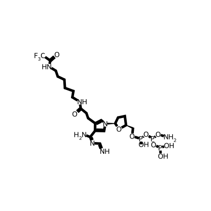 N=C/N=C(/N)c1cn([C@H]2CC[C@@H](COP(O)OP(ON)OP(O)O)O2)cc1CCC(=O)NCCCCCCNC(=O)C(F)(F)F